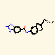 CCOC(=O)CC1CCc2ccc(NC(=O)c3ccc(NC(=N)N)cc3)cc2C1